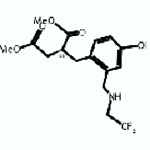 COC(=O)C[C@H](Cc1ccc(O)cc1CNCC(F)(F)F)C(=O)OC